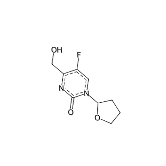 O=c1nc(CO)c(F)cn1C1CCCO1